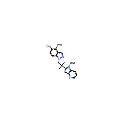 CC(C)(C)c1ccc2c(cnn2CC(C)(C)c2cc3ncccc3n2C(C)(C)C)c1C(C)(C)C